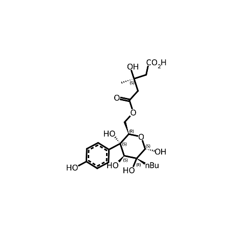 CCCC[C@@]1(O)[C@@H](O)[C@@](O)(c2ccc(O)cc2)[C@@H](COC(=O)C[C@@](C)(O)CC(=O)O)O[C@@H]1O